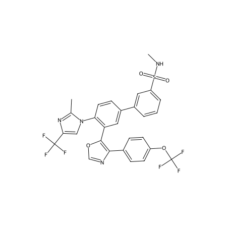 CNS(=O)(=O)c1cccc(-c2ccc(-n3cc(C(F)(F)F)nc3C)c(-c3ocnc3-c3ccc(OC(F)(F)F)cc3)c2)c1